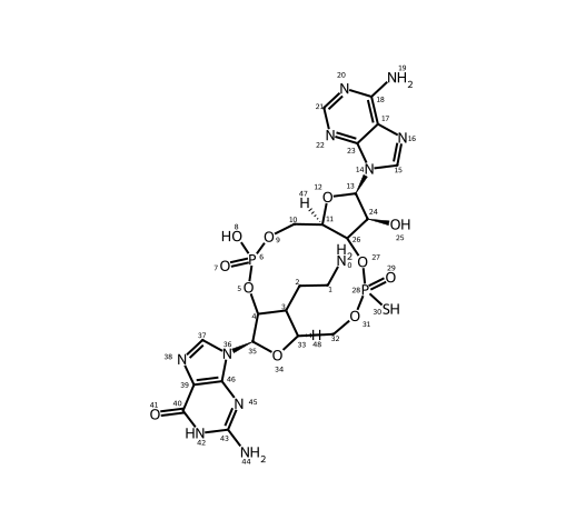 NCCC1C2OP(=O)(O)OC[C@H]3O[C@@H](n4cnc5c(N)ncnc54)[C@@H](O)C3OP(=O)(S)OC[C@H]1O[C@H]2n1cnc2c(=O)[nH]c(N)nc21